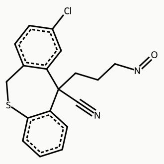 N#CC1(CCCN=O)c2cc(Cl)ccc2CSc2ccccc21